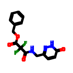 O=C(NCc1ccc(=O)[nH]n1)C(F)(F)C(=O)OCc1ccccc1